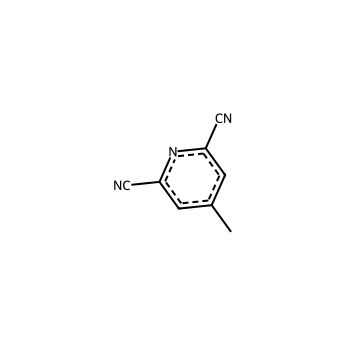 Cc1cc(C#N)nc(C#N)c1